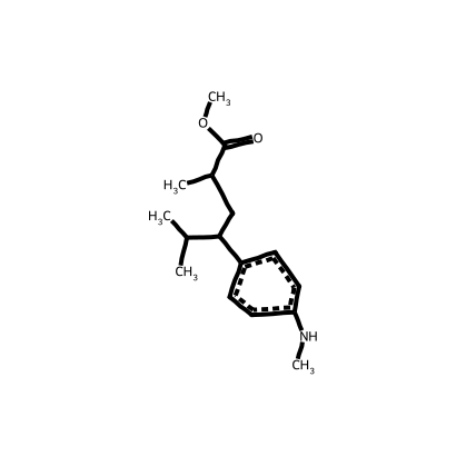 CNc1ccc(C(CC(C)C(=O)OC)C(C)C)cc1